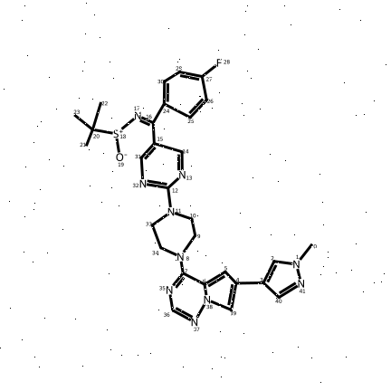 Cn1cc(-c2cc3c(N4CCN(c5ncc(/C(=N\[S+]([O-])C(C)(C)C)c6ccc(F)cc6)cn5)CC4)ncnn3c2)cn1